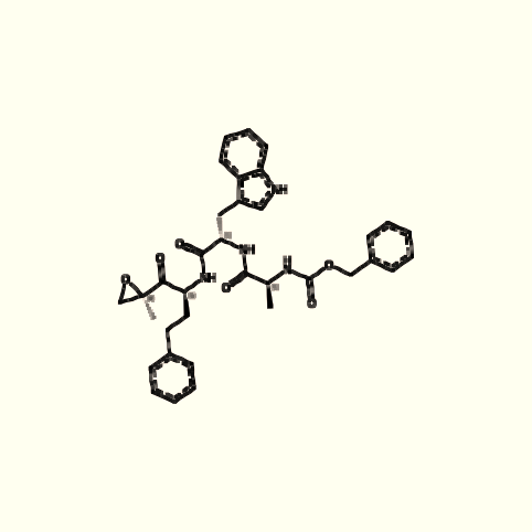 C[C@H](NC(=O)OCc1ccccc1)C(=O)N[C@@H](Cc1c[nH]c2ccccc12)C(=O)N[C@@H](CCc1ccccc1)C(=O)[C@@]1(C)CO1